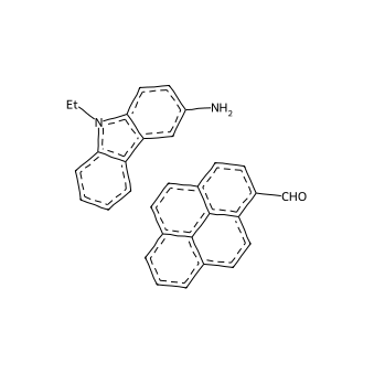 CCn1c2ccccc2c2cc(N)ccc21.O=Cc1ccc2ccc3cccc4ccc1c2c34